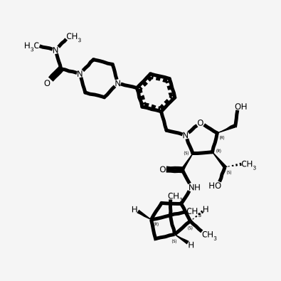 C[C@H](O)[C@@H]1[C@H](CO)ON(Cc2cccc(N3CCN(C(=O)N(C)C)CC3)c2)[C@@H]1C(=O)NC1C[C@H]2C[C@@H]([C@@H]1C)C2(C)C